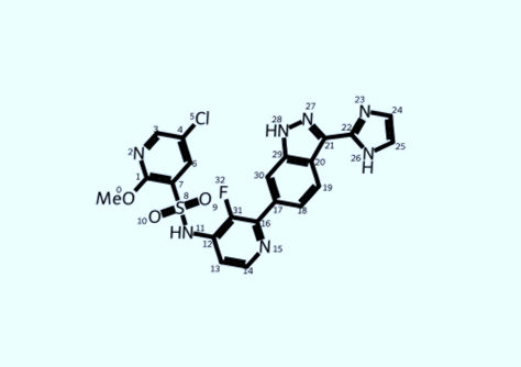 COc1ncc(Cl)cc1S(=O)(=O)Nc1ccnc(-c2ccc3c(-c4ncc[nH]4)n[nH]c3c2)c1F